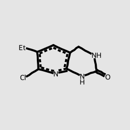 CCc1cc2c(nc1Cl)NC(=O)NC2